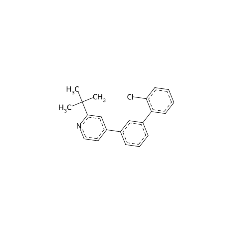 CC(C)(C)c1cc(-c2cccc(-c3ccccc3Cl)c2)ccn1